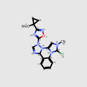 COC1(c2noc(N3C=NC4c5ccccc5N5C(=CN(C#N)C5Cl)N43)n2)CC1